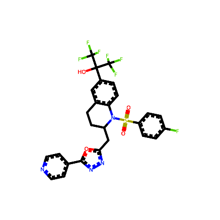 O=S(=O)(c1ccc(F)cc1)N1c2ccc(C(O)(C(F)(F)F)C(F)(F)F)cc2CCC1Cc1nnc(-c2ccncc2)o1